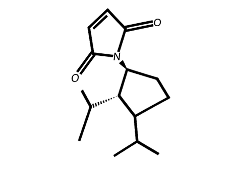 CC(C)C1CC[C@H](N2C(=O)C=CC2=O)[C@H]1C(C)C